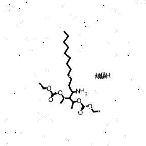 CCCCCCCCCCCC(N)C(C(C)OC(=O)OCC)C(C)OC(=O)OCC.Cl.[NaH].[NaH]